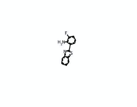 Nc1c(F)cccc1-c1nc2ccccc2s1